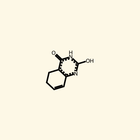 O=c1[nH]c(O)nc2c1CCC=C2